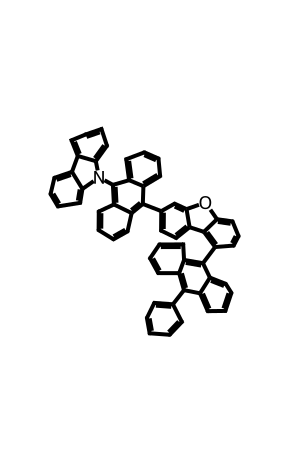 c1ccc(-c2c3ccccc3c(-c3cccc4oc5cc(-c6c7ccccc7c(-n7c8ccccc8c8ccccc87)c7ccccc67)ccc5c34)c3ccccc23)cc1